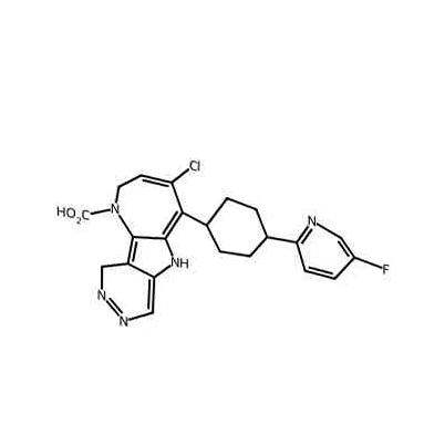 O=C(O)N1CC=C(Cl)C(C2CCC(c3ccc(F)cn3)CC2)=c2[nH]c3c(c21)CN=NC=3